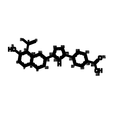 C=C(C)c1c(O)ccc2ccc(-c3ccc(-c4ccc(C(=O)O)cc4)[nH]3)cc12